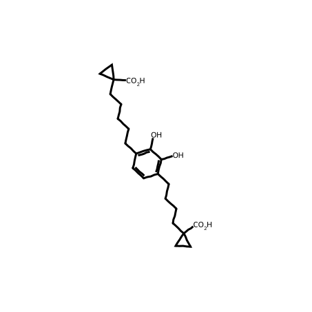 O=C(O)C1(CCCCCc2ccc(CCCCC3(C(=O)O)CC3)c(O)c2O)CC1